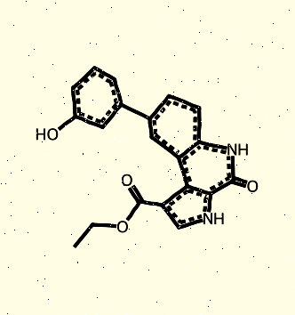 CCOC(=O)c1c[nH]c2c(=O)[nH]c3ccc(-c4cccc(O)c4)cc3c12